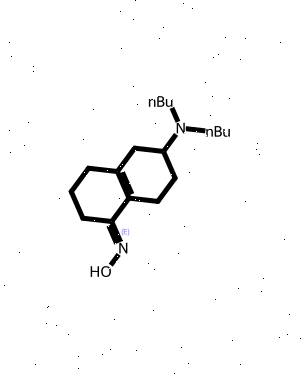 CCCCN(CCCC)C1CCC2=C(CCC/C2=N\O)C1